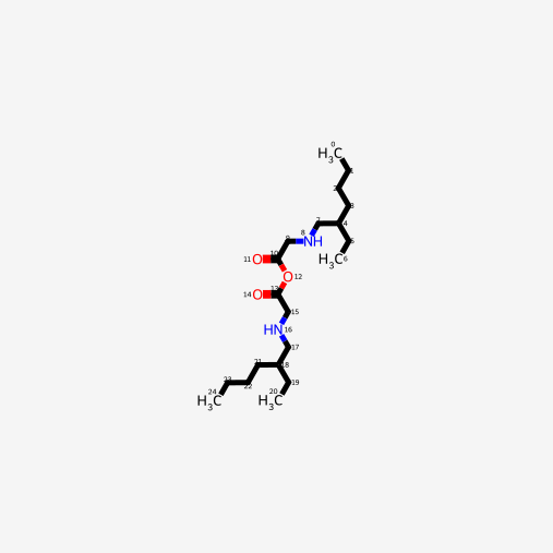 CCCCC(CC)CNCC(=O)OC(=O)CNCC(CC)CCCC